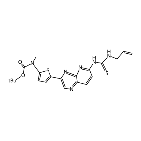 C=CCNC(=S)Nc1ccc2ncc(-c3ccc(N(C)C(=O)OC(C)(C)C)s3)nc2n1